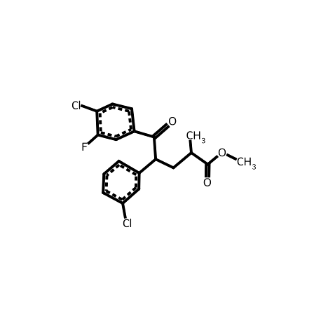 COC(=O)C(C)CC(C(=O)c1ccc(Cl)c(F)c1)c1cccc(Cl)c1